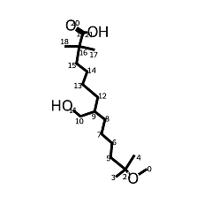 COC(C)(C)CCCCC(CO)CCCCC(C)(C)C(=O)O